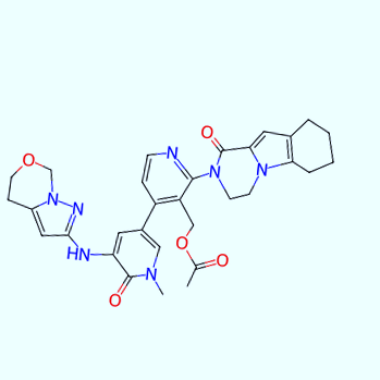 CC(=O)OCc1c(-c2cc(Nc3cc4n(n3)COCC4)c(=O)n(C)c2)ccnc1N1CCn2c(cc3c2CCCC3)C1=O